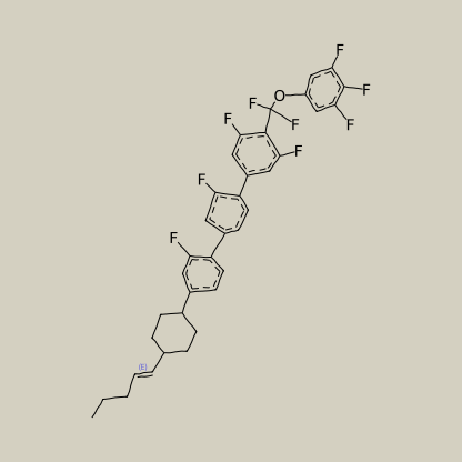 CCC/C=C/C1CCC(c2ccc(-c3ccc(-c4cc(F)c(C(F)(F)Oc5cc(F)c(F)c(F)c5)c(F)c4)c(F)c3)c(F)c2)CC1